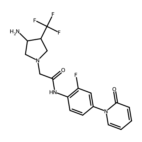 NC1CN(CC(=O)Nc2ccc(-n3ccccc3=O)cc2F)CC1C(F)(F)F